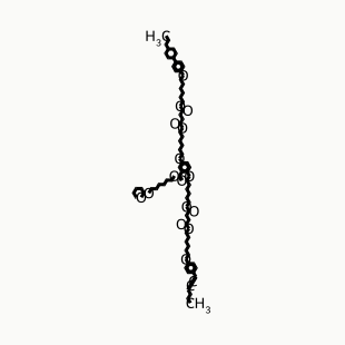 CCCC=C=C=Cc1ccc(OCCCCCCOC(=O)CCC(=O)OCCCCCCOc2ccc(OCCCCCCOC(=O)CCC(=O)OCCCCCCOc3ccc(C4CCC(CCC)CC4)cc3)cc2C(=O)OCCCCCCOC2CCCCO2)cc1